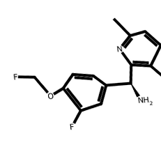 Cc1ccc(F)c([C@@H](N)c2ccc(OCF)c(F)c2)n1